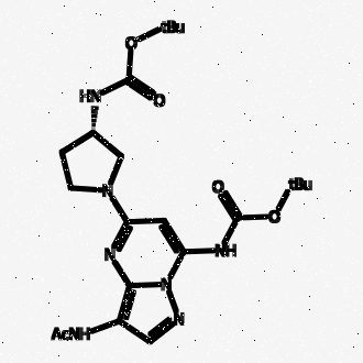 CC(=O)Nc1cnn2c(NC(=O)OC(C)(C)C)cc(N3CC[C@H](NC(=O)OC(C)(C)C)C3)nc12